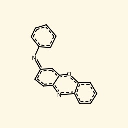 c1ccc(/N=c2/ccc3nc4ccccc4oc-3c2)cc1